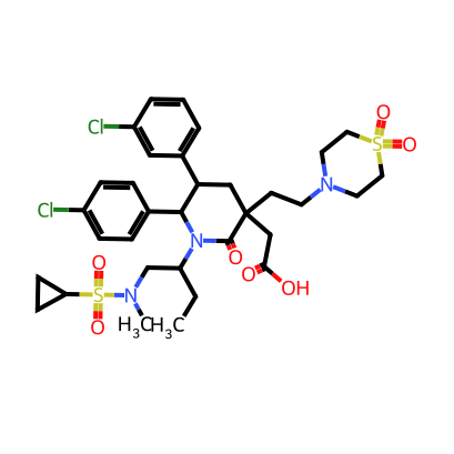 CCC(CN(C)S(=O)(=O)C1CC1)N1C(=O)C(CCN2CCS(=O)(=O)CC2)(CC(=O)O)CC(c2cccc(Cl)c2)C1c1ccc(Cl)cc1